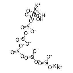 O=[Si]([O-])[O-].O=[Si]([O-])[O-].O=[Si]([O-])[O-].O=[Si]([O-])[O-].O=[Si]([O-])[O-].[K+].[K+].[K+].[K+].[O]=[W+3][OH].[O]=[W+3][OH]